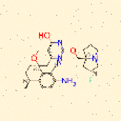 C[C@H]1CC[C@]2(Cc3nc(OC[C@@]45CCCN4C[C@H](F)C5)nc(O)c3CO2)c2c1ccc(N)c2C#N